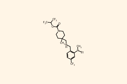 CCN(C)c1cc(C(F)(F)F)ccc1CNCC1(C)CCN(C(=O)OC(C(F)(F)F)C(F)(F)F)CC1